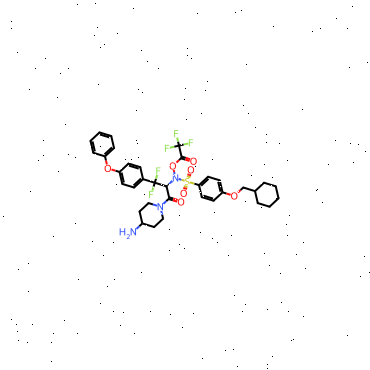 NC1CCN(C(=O)[C@H](N(OC(=O)C(F)(F)F)S(=O)(=O)c2ccc(OCC3CCCCC3)cc2)C(F)(F)c2ccc(Oc3ccccc3)cc2)CC1